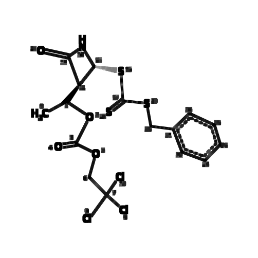 CC(OC(=O)OCC(Cl)(Cl)Cl)[C@H]1C(=O)N[C@@H]1SC(=S)SCc1ccccc1